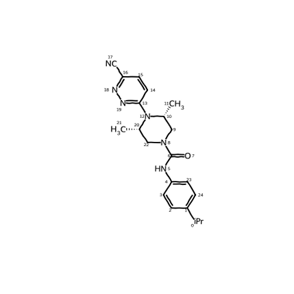 CC(C)c1ccc(NC(=O)N2C[C@@H](C)N(c3ccc(C#N)nn3)[C@@H](C)C2)cc1